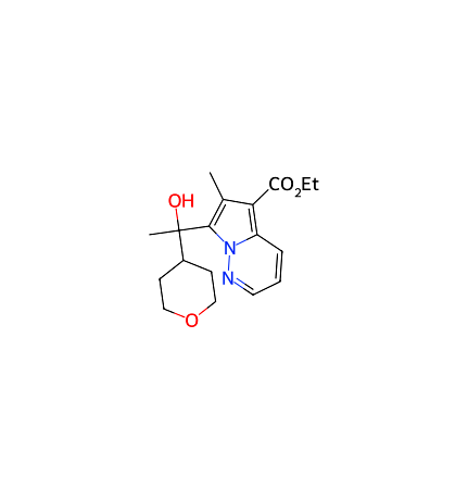 CCOC(=O)c1c(C)c(C(C)(O)C2CCOCC2)n2ncccc12